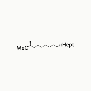 [CH2]CCCCCCCCCCCCCC(=C)OC